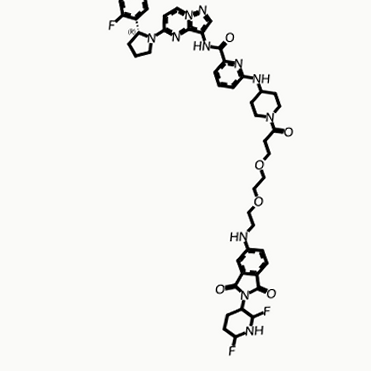 O=C(Nc1cnn2ccc(N3CCC[C@@H]3c3cc(F)ccc3F)nc12)c1cccc(NC2CCN(C(=O)CCOCCOCCNc3ccc4c(c3)C(=O)N(C3CCC(F)NC3F)C4=O)CC2)n1